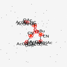 CCCCOCC(COCCCOP(OCCC#N)OCCCCCCO[C@@H]1OC(COC(C)=O)[C@H](OC(C)=O)[C@H](OC(C)=O)C1NC(C)=O)(COCCCOP(OCCC#N)OCCCCCCO[C@@H]1OC(COC(C)=O)[C@H](OC(C)=O)C(OC(C)=O)[C@@H]1NC(C)=O)COCCCOP(OCCC#N)OCCCCCCO[C@@H]1OC(COC(C)=O)[C@H](OC(C)=O)C(OC(C)=O)[C@@H]1NC(C)=O